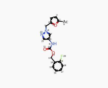 CC(=O)c1ccc(Cn2cc(NC(=O)OCc3ccccc3F)cn2)o1